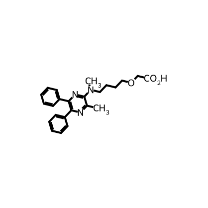 Cc1nc(-c2ccccc2)c(-c2ccccc2)nc1N(C)CCCCOCC(=O)O